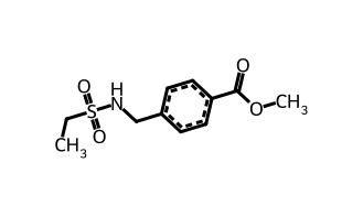 CCS(=O)(=O)NCc1ccc(C(=O)OC)cc1